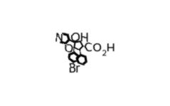 O=C(O)[C@H]1C[C@@]2(O)c3ccncc3O[C@@]2(c2ccc(Br)cc2)[C@@H]1c1ccccc1